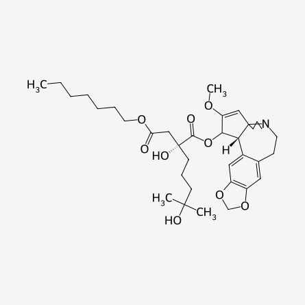 CCCCCCCOC(=O)C[C@](O)(CCCC(C)(C)O)C(=O)OC1C(OC)=CC23CCCN2CCc2cc4c(cc2[C@H]13)OCO4